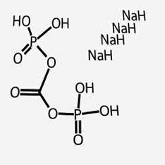 O=C(OP(=O)(O)O)OP(=O)(O)O.[NaH].[NaH].[NaH].[NaH]